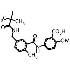 COc1ccc(NC(=O)c2cc(CNC(=O)C(C)(C)I)ccc2C)cc1C(=O)O